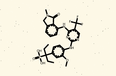 CCC(CC)(c1ccc(Nc2ncc(C(F)(F)F)c(Nc3cccc4c3C(=O)N(C)C4)n2)c(OC)c1)P(=O)(O)O